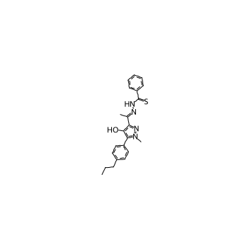 CCCc1ccc(-c2c(O)c(/C(C)=N/NC(=S)c3ccccc3)nn2C)cc1